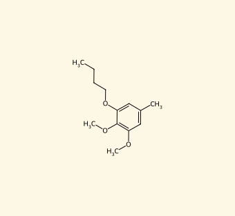 CCCCOc1cc(C)cc(OC)c1OC